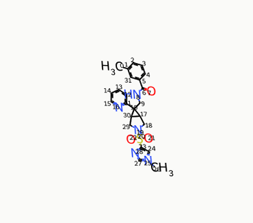 Cc1cccc(C(=O)NCC2(c3ccccn3)C3CN(S(=O)(=O)c4cn(C)cn4)CC32)c1